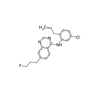 C=CCc1ccc(Cl)cc1Nc1ncnc2cc(CCCF)ccc12